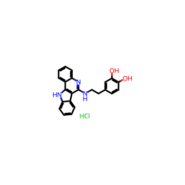 Cl.Oc1ccc(CCNc2nc3ccccc3c3[nH]c4ccccc4c23)cc1O